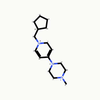 CN1CCN(C2=CCN(CC3CCCC3)C=C2)CC1